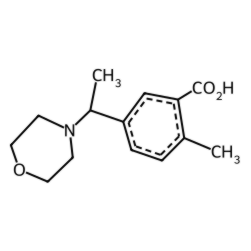 Cc1ccc(C(C)N2CCOCC2)cc1C(=O)O